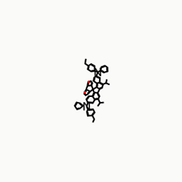 CCc1ccc(N(c2ccccc2)c2ccc3c4c(cc(C(C)C)c3c2)-c2cc(C(C)C)c3cc(N(c5ccccc5)c5ccc(CC)cc5)ccc3c2C42c3ccccc3-c3ccccc32)cc1